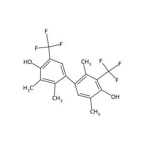 Cc1cc(-c2cc(C(F)(F)F)c(O)c(C)c2C)c(C)c(C(F)(F)F)c1O